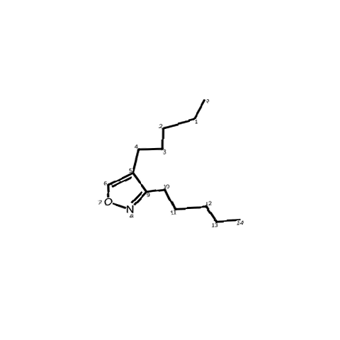 CCCCCc1[c]onc1CCCCC